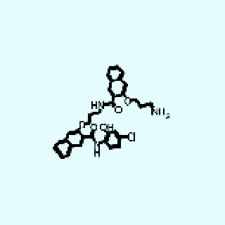 NCCCOc1cc2ccccc2cc1C(=O)NCCCOc1cc2ccccc2cc1C(=O)Nc1ccc(Cl)cc1O